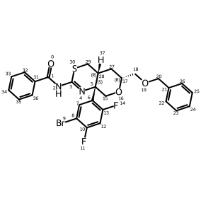 O=C(NC1=N[C@@]2(c3cc(Br)c(F)cc3F)CO[C@@H](COCc3ccccc3)C[C@H]2CS1)c1ccccc1